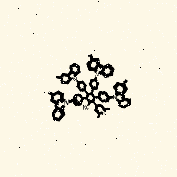 Cc1ccc2c(c1)c1ccccc1n2-c1ccc(-c2c(C#N)c(-c3cc(C)nc(C)c3)c(-c3ccc(-n4c5ccccc5c5cc(C)ccc54)cc3)c(-c3ccc(-n4c5ccccc5c5cc(C)ccc54)cc3)c2-c2ccc(-n3c4ccccc4c4cc(C)ccc43)cc2)cc1